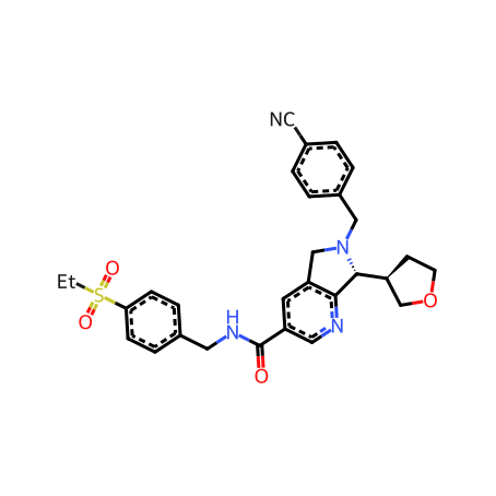 CCS(=O)(=O)c1ccc(CNC(=O)c2cnc3c(c2)CN(Cc2ccc(C#N)cc2)[C@@H]3[C@H]2CCOC2)cc1